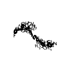 CC(C)(C)[C@H](NC(=O)COCCN1CCN(c2ccc(C(=O)N[C@H]3C(C)(C)[C@H](Oc4ccc(C#N)c(Cl)c4)C3(C)C)cn2)CC1)C(=O)N1C[C@H](O)C[C@H]1C(=O)NCc1cc(F)ccc1F